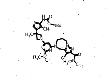 CN(C)C(=O)c1nn2c(c1Cl)CN(c1cc(N3CC(C)(c4csc(NC(=O)OC(C)(C)C)c4C#N)C3)nc([S+](C)[O-])n1)CCC2